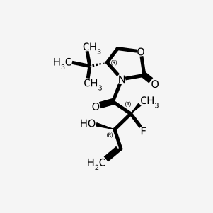 C=C[C@@H](O)[C@@](C)(F)C(=O)N1C(=O)OC[C@H]1C(C)(C)C